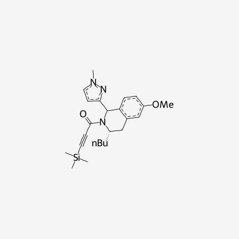 CCCC[C@H]1Cc2cc(OC)ccc2C(c2ccn(C)n2)N1C(=O)C#C[Si](C)(C)C